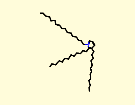 CCCCCCCCCCCCCCCCC[n+]1cccc(CCCCCCCCCCCCC)c1CCCCCCCCCCCCC